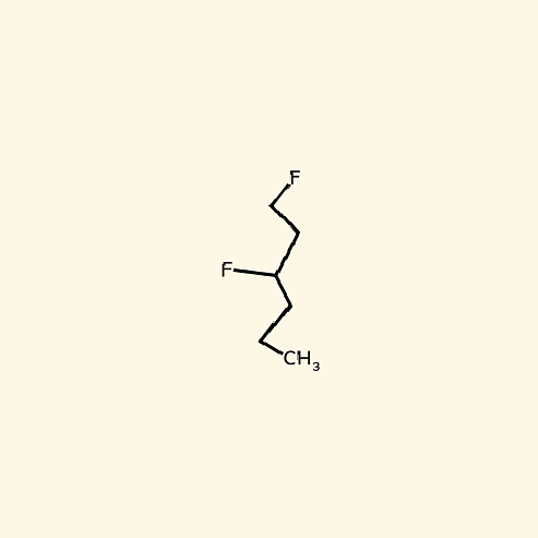 CCCC(F)CCF